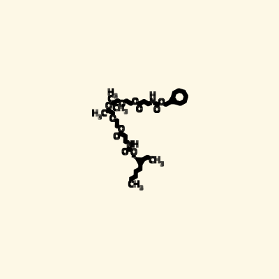 CCCCCC1C(CC)[C@H]1COC(=O)NCCC(=O)OCCOCC(C)OC(C)(C)COCCOC(=O)CCNC(=O)OCC1C2CCCCCCC21